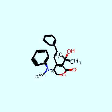 CCCN(c1ccccc1)[C@H]1COC(=O)C(C(C)(C)O)=C1CCc1ccccc1